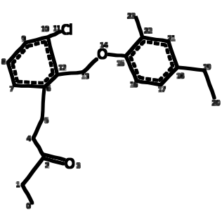 CCC(=O)CCc1cccc(Cl)c1COc1ccc(CC)cc1C